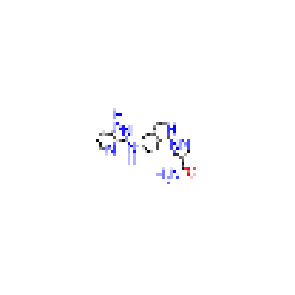 NC(=O)c1cnn(-c2nccc3cc(Nc4n[nH]c5cccnc45)ccc23)c1